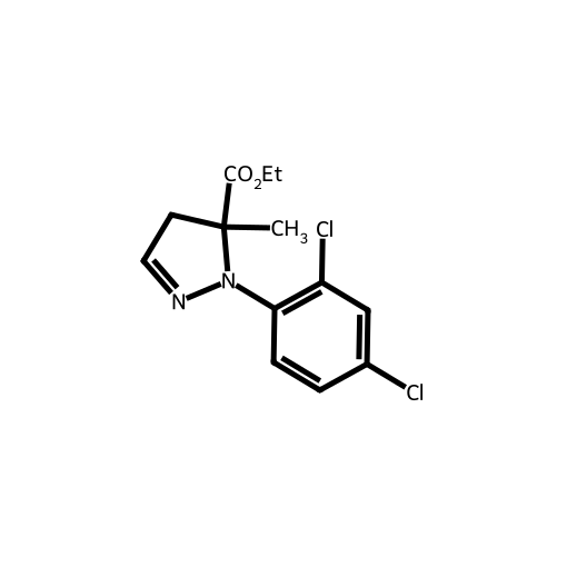 CCOC(=O)C1(C)CC=NN1c1ccc(Cl)cc1Cl